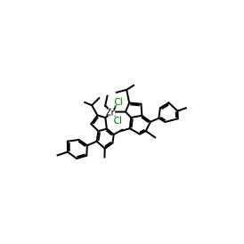 C[CH2][Zr]([Cl])([Cl])([CH]1C(C(C)C)=Cc2c(-c3ccc(C)cc3)c(C)cc(C)c21)[CH]1C(C(C)C)=Cc2c(-c3ccc(C)cc3)c(C)cc(C)c21